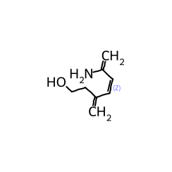 C=C(N)/C=C\C(=C)CCO